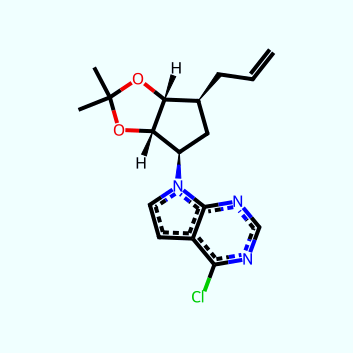 C=CC[C@H]1C[C@@H](n2ccc3c(Cl)ncnc32)[C@@H]2OC(C)(C)O[C@H]12